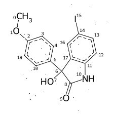 COc1ccc(C2(O)C(=O)Nc3ccc(I)cc32)cc1